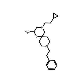 CC1CN(CCC2CC2)CC2(CCN(CCc3ccccc3)CC2)O1